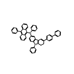 C1=C(c2ccc(-c3ccccc3)cc2)CCc2c1c1cc(N(c3ccccc3)c3c4ccccc4c(-c4ccccc4)c4ccccc34)ccc1n2-c1ccccc1